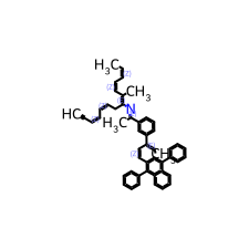 C#C/C=C\C=C/CC(/N=C(\C)c1cccc(C(/C=C\c2cc(-c3ccccc3)c3ccccc3c2-c2ccccc2)=C/C)c1)=C(C)\C=C/C=C\C